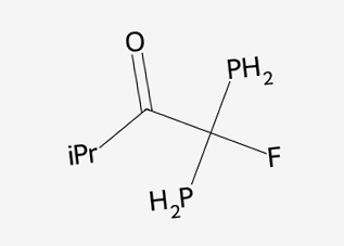 CC(C)C(=O)C(F)(P)P